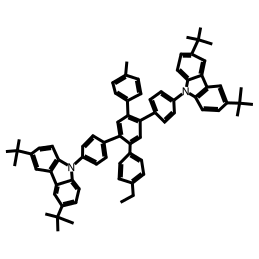 CCc1ccc(-c2cc(-c3ccc(-n4c5ccc(C(C)(C)C)cc5c5cc(C(C)(C)C)ccc54)cc3)c(-c3ccc(C)cc3)cc2-c2ccc(-n3c4ccc(C(C)(C)C)cc4c4cc(C(C)(C)C)ccc43)cc2)cc1